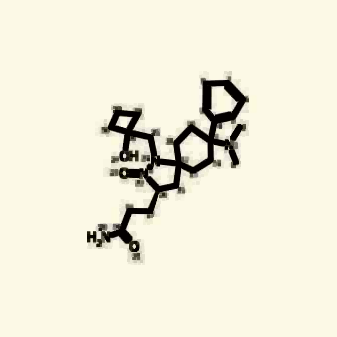 CN(C)C1(c2ccccc2)CCC2(CC1)C[C@@H](CCC(N)=O)[N+](=O)N2CC1(O)CCC1